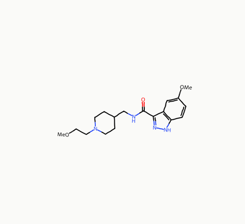 COCCN1CCC(CNC(=O)c2n[nH]c3ccc(OC)cc23)CC1